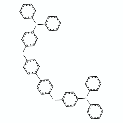 c1ccc(N(c2ccccc2)c2ccc(Oc3ccc(-c4ccc(Oc5ccc(N(c6ccccc6)c6ccccc6)cc5)cc4)cc3)cc2)cc1